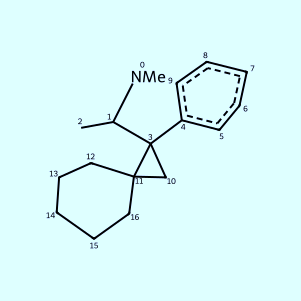 CNC(C)C1(c2ccccc2)CC12CCCCC2